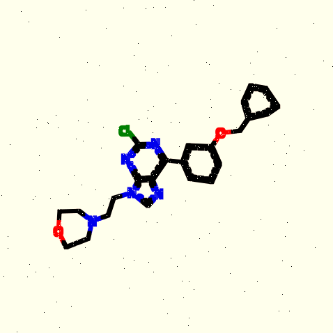 Clc1nc(-c2cccc(OCc3ccccc3)c2)c2ncn(CCN3CCOCC3)c2n1